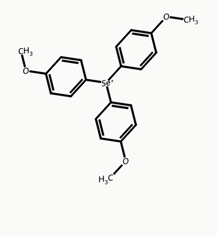 COc1ccc([Se+](c2ccc(OC)cc2)c2ccc(OC)cc2)cc1